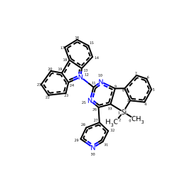 C[Si]1(C)c2ccccc2-c2nc(-n3c4ccccc4c4ccccc43)nc(-c3ccncc3)c21